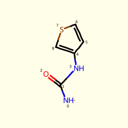 [NH]C(=O)Nc1ccsc1